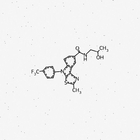 Cc1nc2c3cc(C(=O)NCC(C)O)ccc3n(-c3ccc(C(F)(F)F)cc3)c2s1